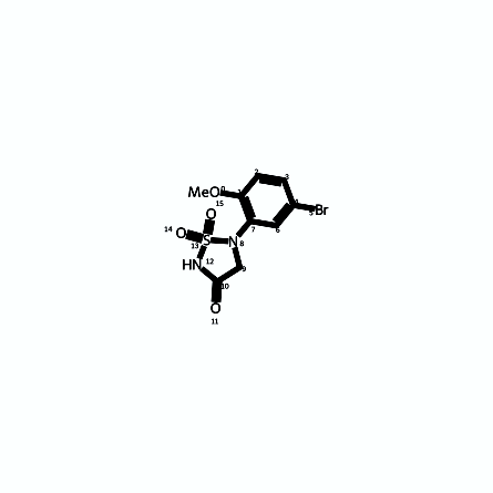 COc1ccc(Br)cc1N1CC(=O)NS1(=O)=O